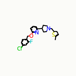 CC1=CCC(CN2CCC(c3cccc(OCc4ccc(Cl)cc4F)n3)CC2)S1